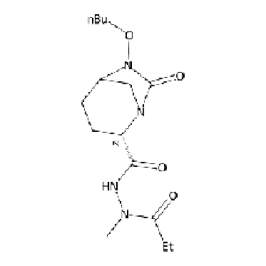 CCCCON1C(=O)N2CC1CC[C@H]2C(=O)NN(C)C(=O)CC